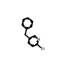 CCc1ccc(Cc2ccccc2)cn1